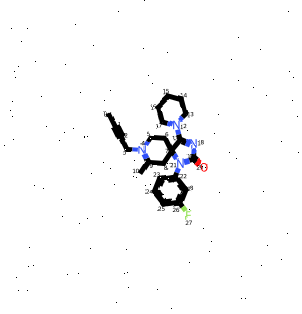 CC#CCN1CCC2(CC1C)C(N1CCCCC1)=NC(=O)N2c1cccc(F)c1